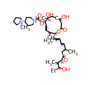 CC[C@H](O)[C@@H](C)[C@H]1O[C@@H]1C[C@H](C)/C=C/C=C(\C)[C@H]1OC(=O)C[C@H](O)CC[C@@](C)(O)[C@@H](OC(=O)N2CCC([N+]3(C)CCCC3)CC2)/C=C/[C@@H]1C